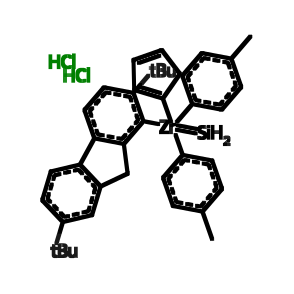 Cc1cc[c]([Zr](=[SiH2])([C]2=CC=CC2)([c]2ccc(C)cc2)[c]2c(C(C)(C)C)ccc3c2Cc2cc(C(C)(C)C)ccc2-3)cc1.Cl.Cl